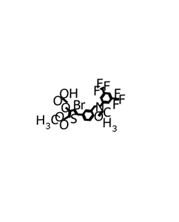 COC(=O)c1sc(-c2cccc(CN(C(C)=O)c3cc(C(F)(F)F)cc(C(F)(F)F)c3)c2)c(Br)c1OCC(=O)O